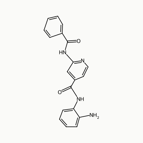 Nc1ccccc1NC(=O)c1ccnc(NC(=O)c2ccccc2)c1